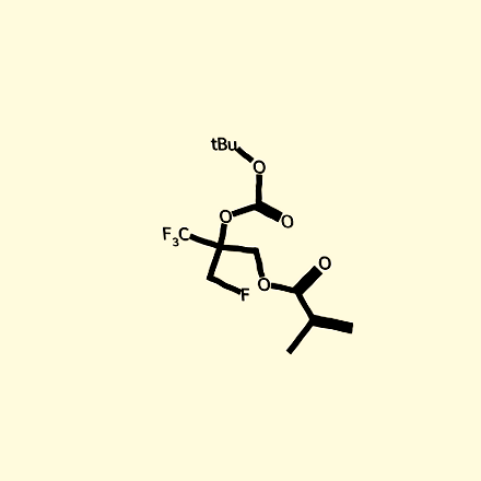 C=C(C)C(=O)OCC(CF)(OC(=O)OC(C)(C)C)C(F)(F)F